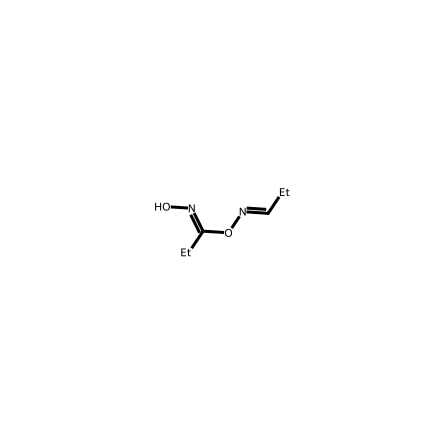 CCC=NOC(CC)=NO